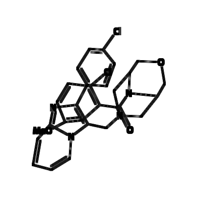 COc1ccc(Cl)c(C(=O)N2C3COCC2CN(Cc2c(-c4ccc(Cl)cc4)nc4ccccn24)C3)c1